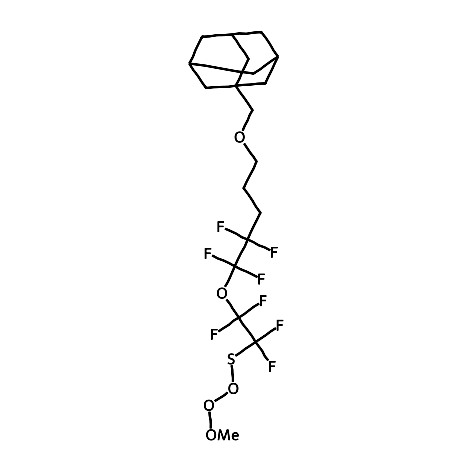 COOOSC(F)(F)C(F)(F)OC(F)(F)C(F)(F)CCCOCC12CC3CC(CC(C3)C1)C2